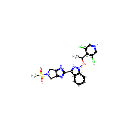 CC(On1nc(-c2nc3c([nH]2)CN(S(C)(=O)=O)C3)c2ccccc21)c1c(Cl)cncc1Cl